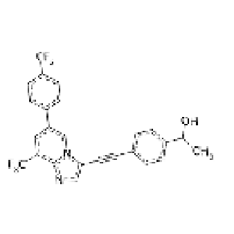 CC(O)c1ccc(C#Cc2cnc3c(C(F)(F)F)cc(-c4ccc(C(F)(F)F)cc4)cn23)cc1